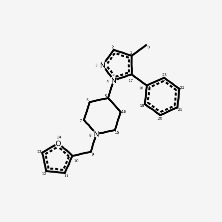 Cc1cnn(C2CCN(Cc3ccco3)CC2)c1-c1ccccc1